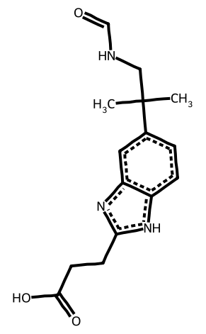 CC(C)(CNC=O)c1ccc2[nH]c(CCC(=O)O)nc2c1